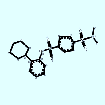 CN(C)S(=O)(=O)c1ccc(S(=O)(=O)Nc2ccccc2C2CCCCC2)cc1